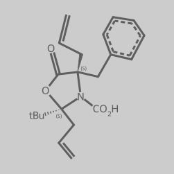 C=CC[C@]1(Cc2ccccc2)C(=O)O[C@@](CC=C)(C(C)(C)C)N1C(=O)O